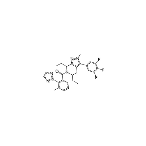 CCC1Cc2c(nn(C)c2-c2cc(F)c(F)c(F)c2)C(CC)N1C(=O)c1cccc(C)c1-n1nccn1